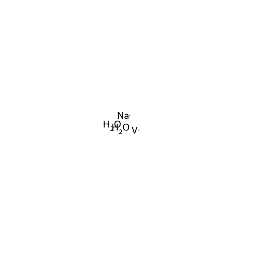 O.O.[Na].[V]